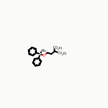 CCOC(=O)C(CCO[Si](c1ccccc1)(c1ccccc1)C(C)(C)C)C(=O)OCC